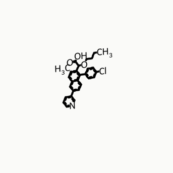 CCCCOC(C(=O)O)c1c(C)cc2cc(-c3cccnc3)ccc2c1-c1ccc(Cl)cc1